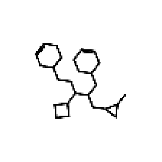 CC1CC1CC(CC1CC=CCC1)[C](CCC1CC=CCC1)C1CCC1